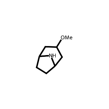 COC1CC2CCC(C1)N2